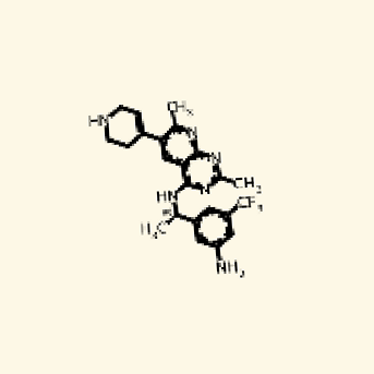 Cc1nc(N[C@H](C)c2cc(N)cc(C(F)(F)F)c2)c2cc(C3=CCNCC3)c(C)nc2n1